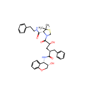 CC1(C)SCN(C(=O)[C@@H](O)C[C@@H](Cc2ccccc2)C(=O)N[C@H]2c3ccccc3OC[C@H]2O)[C@@H]1C(=O)NCCc1ccccc1